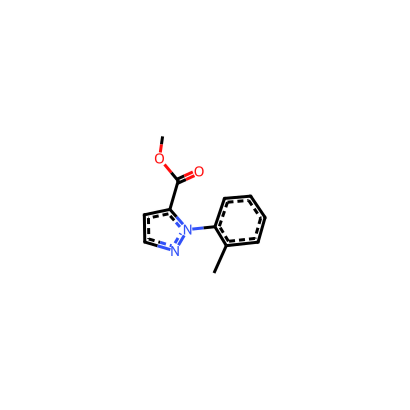 COC(=O)c1ccnn1-c1ccccc1C